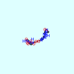 CN(C)C(=O)c1cc2cnc(Nc3ccc(N4CCN(CCOCCOCCC(=O)Nc5cccc6c5C(=O)N(C5CCC(=O)NC5=O)C6=O)CC4)cn3)nc2n1C1CCCC1